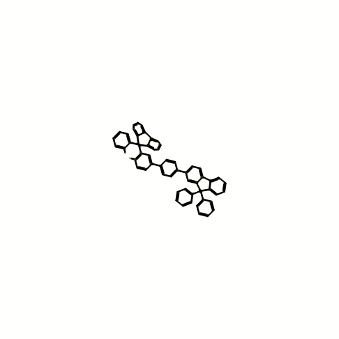 c1ccc(C2(c3ccccc3)c3ccccc3-c3ccc(-c4ccc(-c5ccc6c(c5)C5(c7ccccc7O6)c6ccccc6-c6ccccc65)cc4)cc32)cc1